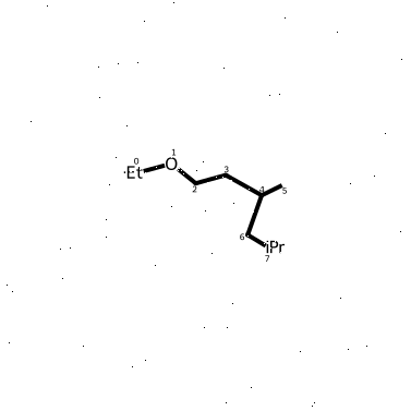 C[CH]OCCC(C)CC(C)C